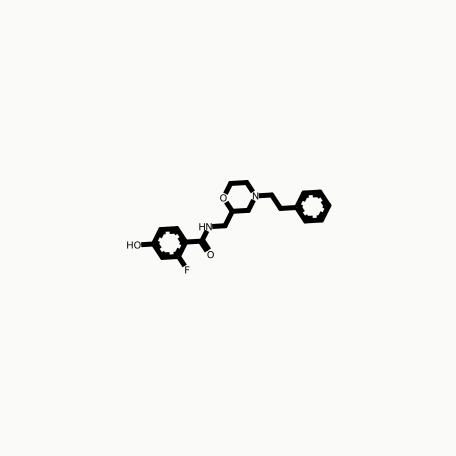 O=C(NCC1CN(CCc2ccccc2)CCO1)c1ccc(O)cc1F